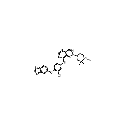 CC1(C)CN(c2ncc3ncnc(Nc4ccc(Oc5ccn6ncnc6c5)c(Cl)c4)c3n2)CC[C@@H]1O